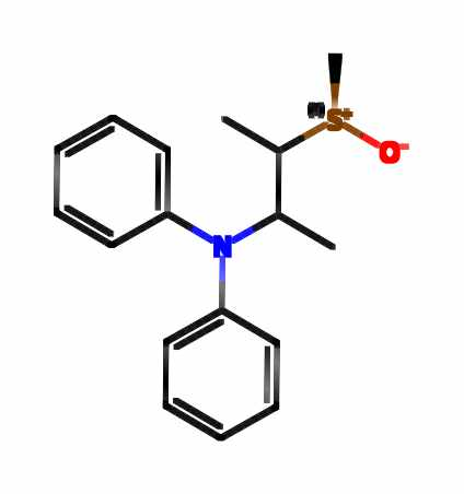 CC(C(C)[S@@+](C)[O-])N(c1ccccc1)c1ccccc1